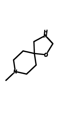 CN1CCC2(CC1)CNCO2